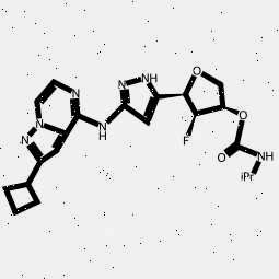 CC(C)NC(=O)O[C@@H]1CO[C@H](c2cc(Nc3nccn4nc(C5CCC5)cc34)n[nH]2)[C@@H]1F